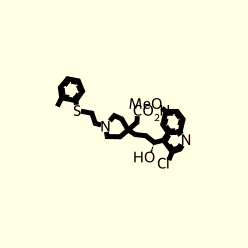 COc1ccc2ncc(Cl)c([C@H](O)CCC3(CC(=O)O)CCN(CCSc4ccccc4C)CC3)c2c1